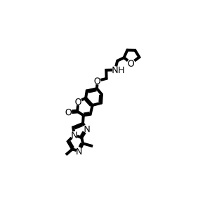 Cc1cn2cc(-c3cc4ccc(OCCNCC5CCCO5)cc4oc3=O)nc2c(C)n1